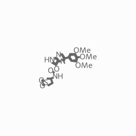 COc1cc(-c2cnc3[nH]cc(OC(=O)NC4CCS(=O)(=O)C4)c3n2)cc(OC)c1OC